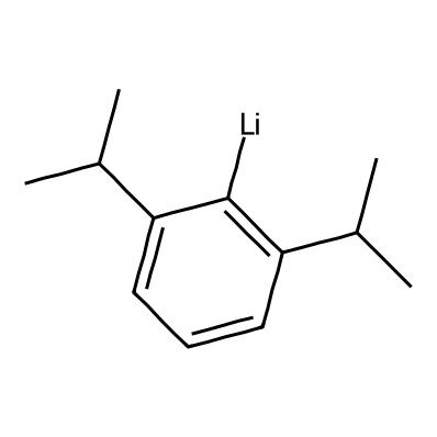 [Li][c]1c(C(C)C)cccc1C(C)C